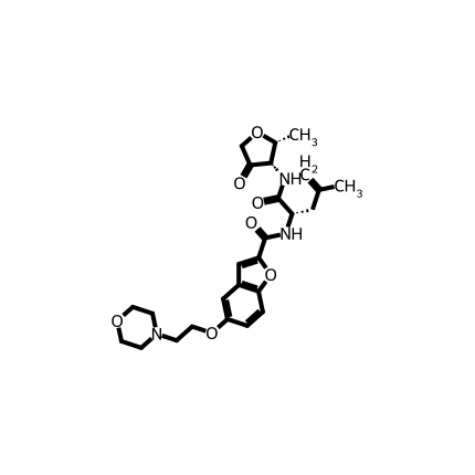 C=C(C)C[C@H](NC(=O)c1cc2cc(OCCN3CCOCC3)ccc2o1)C(=O)N[C@@H]1C(=O)CO[C@@H]1C